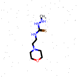 CNNC(=S)NCCN1CCOCC1